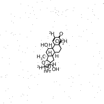 [2H]C1=C[C@@]2(C)C(=C([2H])C1=O)CC[C@@H]1[C@@H]2[C@@H](O)C[C@@]2(C)[C@H]1C[C@H]1OC([2H])(CCC)O[C@]12C(=O)CO